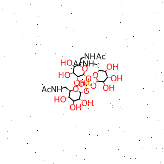 CC(=O)NC[C@H]1O[C@H](OP(=O)(O[C@H]2O[C@H](CNC(C)=O)[C@@H](O)[C@H](O)[C@H]2O)O[C@H]2O[C@H](CNC(C)=O)[C@@H](O)[C@H](O)[C@H]2O)[C@H](O)[C@@H](O)[C@@H]1O